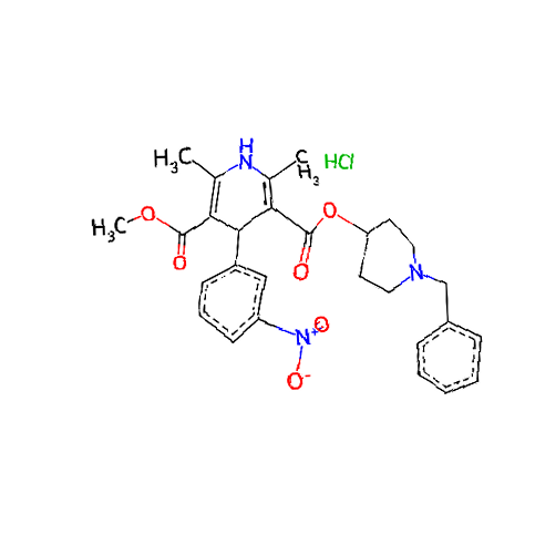 COC(=O)C1=C(C)NC(C)=C(C(=O)OC2CCN(Cc3ccccc3)CC2)C1c1cccc([N+](=O)[O-])c1.Cl